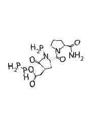 NC(=O)[C@@H]1CCCN1C(=O)[C@@H]1C[C@@H](CC(=O)OPP)C(=O)N1P